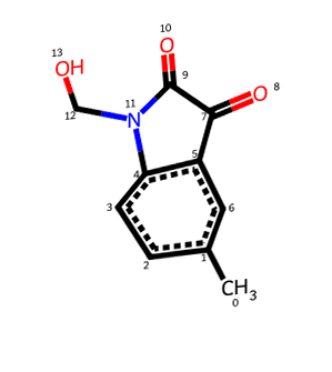 Cc1ccc2c(c1)C(=O)C(=O)N2CO